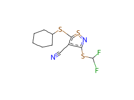 N#Cc1c(SC(F)F)nsc1SC1CCCCC1